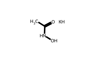 CC(=O)NO.[KH]